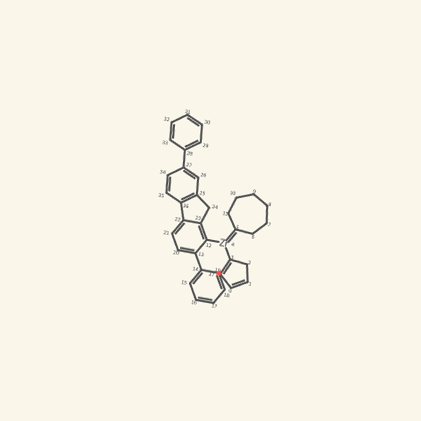 C1=CC[C]([Zr](=[C]2CCCCCC2)[c]2c(-c3ccccc3)ccc3c2Cc2cc(-c4ccccc4)ccc2-3)=C1